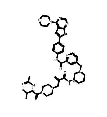 C=C(CN1CCN(C(=O)[C@@H](NC(C)=O)C(C)C)CC1)C(=O)N[C@@H]1CCCN(Cc2ccnc(C(=O)Nc3ccc(-c4cc5c(N6CCOCC6)ncnc5[nH]4)cc3)c2)C1